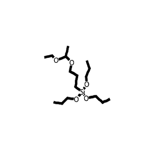 CCCO[Si](CCCOC(C)OCC)(OCCC)OCCC